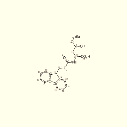 CCCCOC(=O)C[C@H](NC(=O)OCC1c2ccccc2-c2ccccc21)C(=O)O